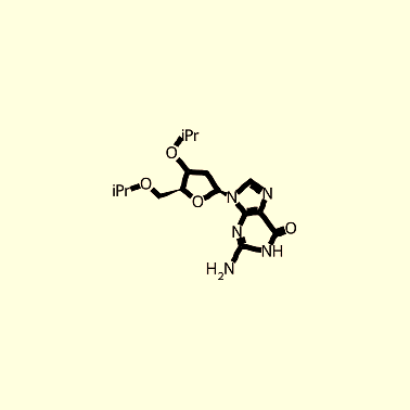 CC(C)OC[C@@H]1O[C@H](n2cnc3c(=O)[nH]c(N)nc32)CC1OC(C)C